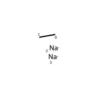 CC.[Na].[Na]